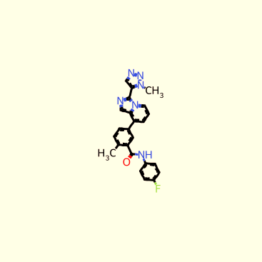 Cc1ccc(-c2cccn3c(-c4cnnn4C)ncc23)cc1C(=O)Nc1ccc(F)cc1